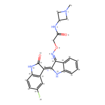 CN1CC(NC(=O)CO/N=C2/C(=C3\C(=O)Nc4ccc(F)cc43)Nc3ccccc32)C1